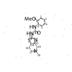 COc1ccccc1NC(=O)Nc1nc2c(s1)CCN(C)C2